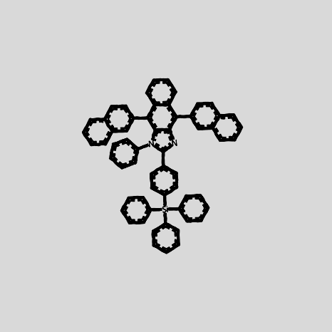 c1ccc(-n2c(-c3ccc([Si](c4ccccc4)(c4ccccc4)c4ccccc4)cc3)nc3c(-c4ccc5ccccc5c4)c4ccccc4c(-c4ccc5ccccc5c4)c32)cc1